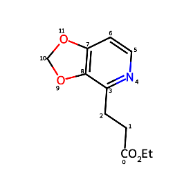 CCOC(=O)CCc1nccc2c1OCO2